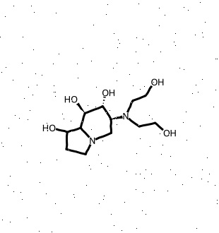 OCCN(CCO)[C@H]1CN2CCC(O)C2[C@@H](O)[C@@H]1O